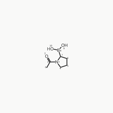 CC(=O)N1CCCC1B(O)O